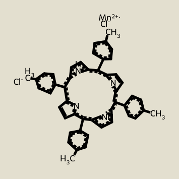 Cc1ccc(-c2c3nc(c(-c4ccc(C)cc4)c4ccc([nH]4)c(-c4ccc(C)cc4)c4nc(c(-c5ccc(C)cc5)c5ccc2[nH]5)C=C4)C=C3)cc1.[Cl-].[Cl-].[Mn+2]